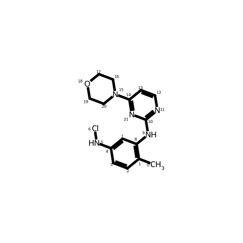 Cc1ccc(NCl)cc1Nc1nccc(N2CCOCC2)n1